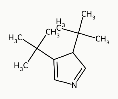 CC(C)(C)C1=CN=CC1C(C)(C)C